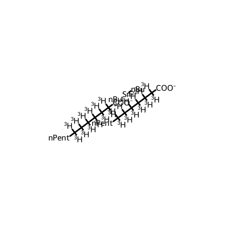 CCC[CH2][Sn+2][CH2]CCC.[3H]C([3H])(CCCCC)C([3H])([3H])C([3H])([3H])C([3H])([3H])C([3H])([3H])C([3H])([3H])C(=O)[O-].[3H]C([3H])(CCCCC)C([3H])([3H])C([3H])([3H])C([3H])([3H])C([3H])([3H])C([3H])([3H])C(=O)[O-]